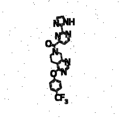 O=C(c1ccnc(-c2ncc[nH]2)n1)N1CCc2c(ncnc2Oc2ccc(C(F)(F)F)cc2)C1